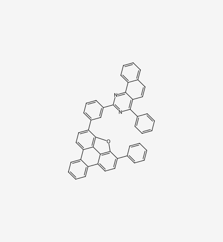 c1ccc(-c2nc(-c3cccc(-c4ccc5c6ccccc6c6ccc(-c7ccccc7)c7oc4c5c76)c3)nc3c2ccc2ccccc23)cc1